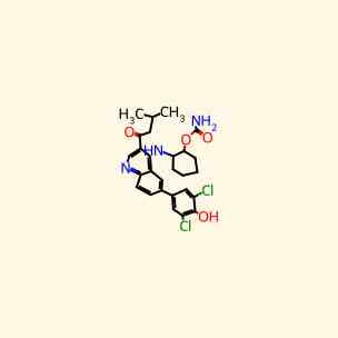 CC(C)CC(=O)c1cnc2ccc(-c3cc(Cl)c(O)c(Cl)c3)cc2c1NC1CCCCC1OC(N)=O